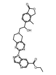 CCOC(=O)c1cnc2cnn(-c3ncc4c(n3)CCN(CC(O)c3ccc5c(c3C)COC5=O)C4)c2c1